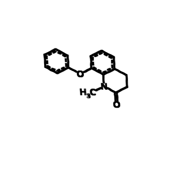 CN1C(=O)CCc2cccc(Oc3ccccc3)c21